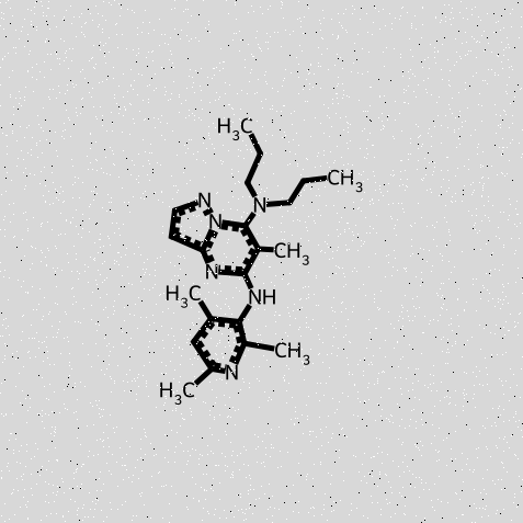 CCCN(CCC)c1c(C)c(Nc2c(C)cc(C)nc2C)nc2ccnn12